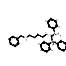 c1ccc(COCCCCC[C@H]([SiH2]c2ccccc2)[SiH](c2ccccc2)c2ccccc2)cc1